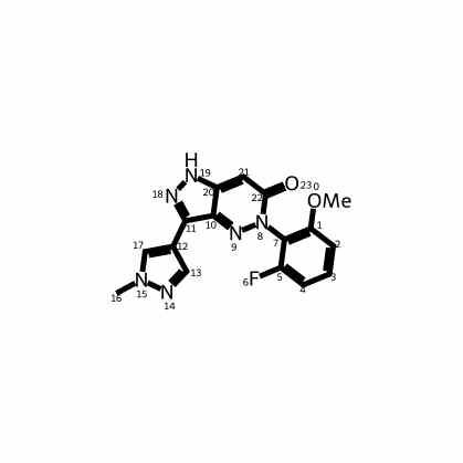 COc1cccc(F)c1-n1nc2c(-c3cnn(C)c3)n[nH]c2cc1=O